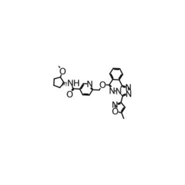 COC1CCC[C@H]1NC(=O)c1ccc(COc2nn3c(-c4cc(C)on4)nnc3c3ccccc23)nc1